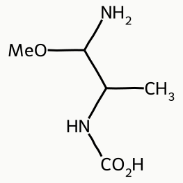 COC(N)C(C)NC(=O)O